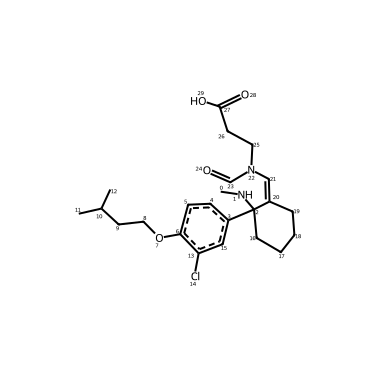 CNC1(c2ccc(OCCC(C)C)c(Cl)c2)CCCC/C1=C/N(C=O)CCC(=O)O